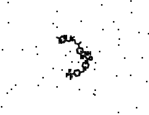 Cc1cnc(CN(C)CCC(C)c2ccc3nc(C(=O)N4CCN(Cc5ccc(C(F)(F)F)cc5)CC4)[nH]c3c2)cn1